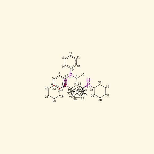 CC(P(c1ccccc1)c1ccccc1)[C]12[C]3(PC4CCCCC4)[CH]4[CH]5[C@]1(PC1CCCCC1)[Fe]45321678[CH]2[CH]1[CH]6[CH]7[CH]28